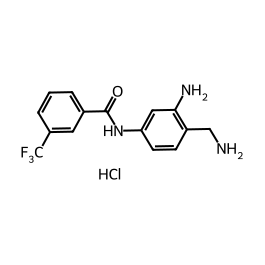 Cl.NCc1ccc(NC(=O)c2cccc(C(F)(F)F)c2)cc1N